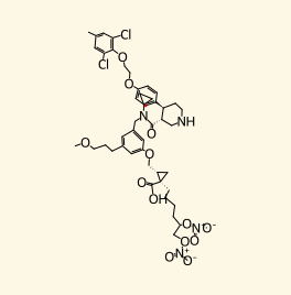 COCCCc1cc(CN(C(=O)[C@H]2CNCC[C@@H]2c2ccc(OCCOc3c(Cl)cc(C)cc3Cl)cc2)C2CC2)cc(OC[C@@H]2C[C@@]2(CCCCC(CO[N+](=O)[O-])O[N+](=O)[O-])C(=O)O)c1